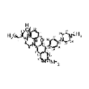 C=CC(=O)N1CCN(c2cc3cnc(N)nc3n(-c3ccc(N4CCN(C)CC4)cc3)c2=O)c2cccc(C)c21